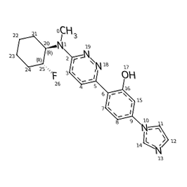 CN(c1ccc(-c2ccc(-n3ccnc3)cc2O)nn1)[C@@H]1CCCC[C@H]1F